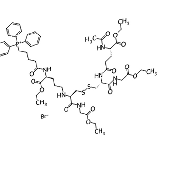 CCOC(=O)CNC(=O)[C@H](CSSC[C@H](NC(=O)CC[C@H](NC(C)=O)C(=O)OCC)C(=O)NCC(=O)OCC)NCCC[C@H](NC(=O)CCCC[P+](c1ccccc1)(c1ccccc1)c1ccccc1)C(=O)OCC.[Br-]